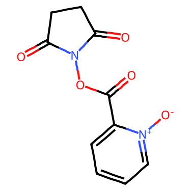 O=C(ON1C(=O)CCC1=O)c1cccc[n+]1[O-]